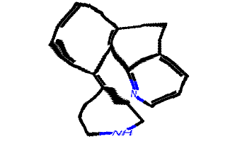 C1=CCC2=C(C(=C3CCNCC3)C=C1)c1ncccc1CC2